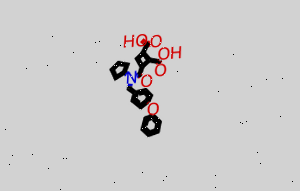 O=C(O)C1CC(C(=O)N(Cc2ccc(Oc3ccccc3)cc2)C2CCCC2)C1C(=O)O